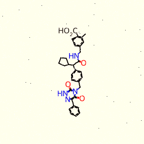 Cc1cc(CNC(=O)C(c2ccc(Cn3c(=O)[nH]nc(-c4ccccc4)c3=O)cc2)C2CCCC2)ccc1C(=O)O